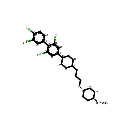 CCCCC[C@H]1CC[C@H](CCCCC2CCC(c3cc(F)c(-c4ccc(F)c(F)c4)c(F)c3)CC2)CC1